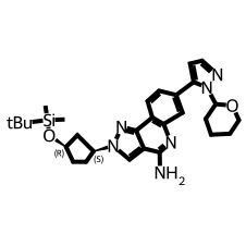 CC(C)(C)[Si](C)(C)O[C@@H]1CC[C@H](n2cc3c(N)nc4cc(-c5ccnn5C5CCCCO5)ccc4c3n2)C1